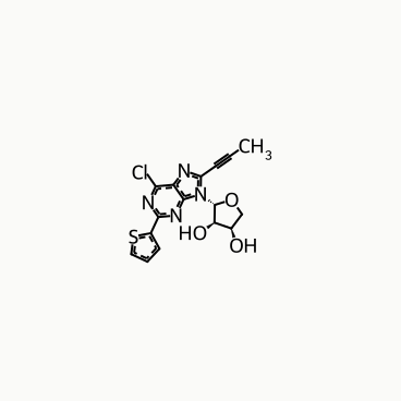 CC#Cc1nc2c(Cl)nc(-c3cccs3)nc2n1[C@@H]1OC[C@@H](O)[C@H]1O